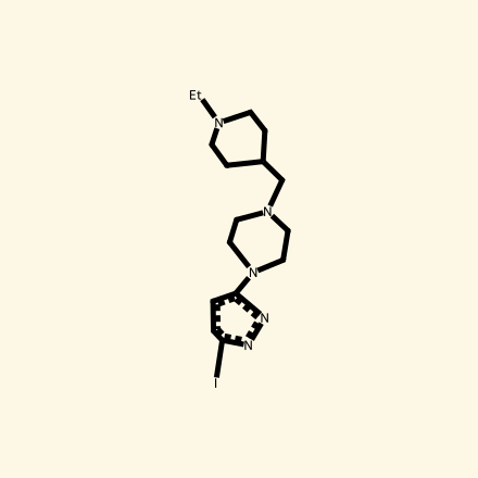 CCN1CCC(CN2CCN(c3ccc(I)nn3)CC2)CC1